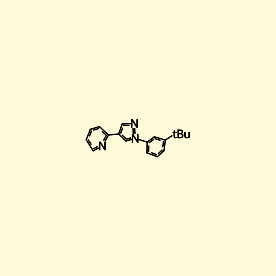 CC(C)(C)c1cccc(-n2cc(-c3ccccn3)cn2)c1